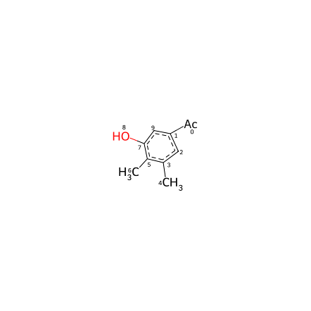 CC(=O)c1cc(C)c(C)c(O)c1